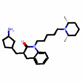 C[C@@H]1CCC[C@H](C)N1CCCCCN1C(=O)C(CC2CCC(N)C2)Cc2ccccc21